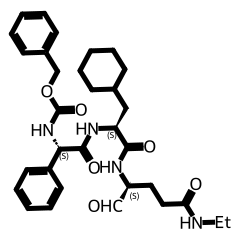 CCNC(=O)CC[C@@H](C=O)NC(=O)[C@H](CC1CCCCC1)NC(=O)[C@@H](NC(=O)OCc1ccccc1)c1ccccc1